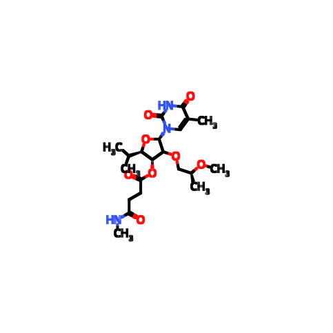 CNC(=O)CCC(=O)O[C@@H]1C(OC[C@H](C)OC)[C@H](n2cc(C)c(=O)[nH]c2=O)O[C@@H]1C(C)C